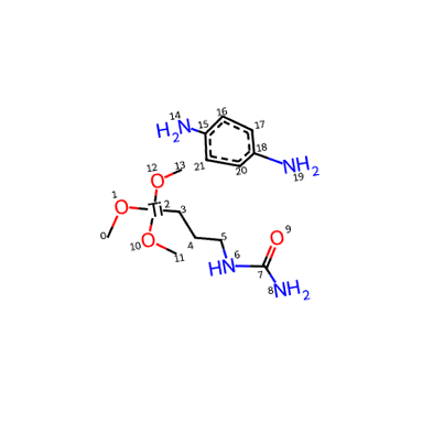 C[O][Ti]([CH2]CCNC(N)=O)([O]C)[O]C.Nc1ccc(N)cc1